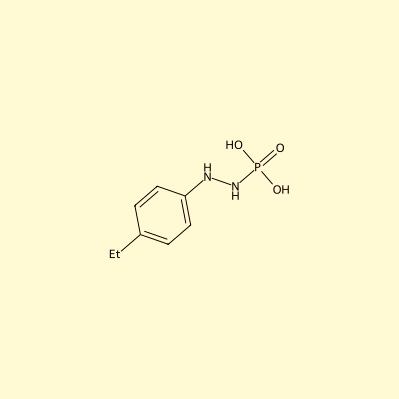 CCc1ccc(NNP(=O)(O)O)cc1